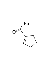 CC(C)(C)C(=O)C1=CCCC1